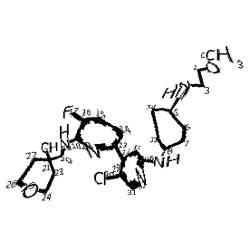 COCCN[C@H]1CC[C@H](Nc2cc(-c3ccc(F)c(NCC4(C)CCOCC4)n3)c(Cl)cn2)CC1